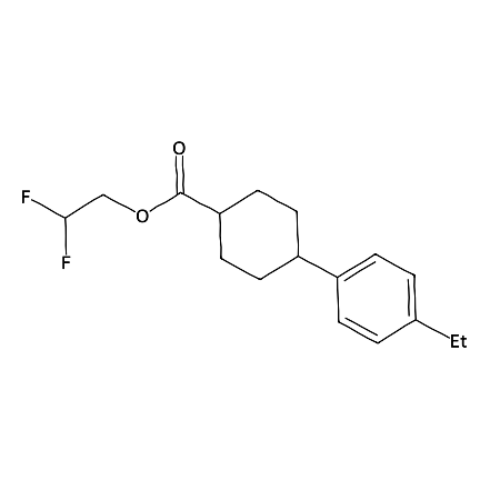 CCc1ccc(C2CCC(C(=O)OCC(F)F)CC2)cc1